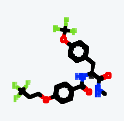 CNC(=O)[C@H](Cc1ccc(OC(F)(F)F)cc1)NC(=O)c1ccc(OCCC(F)(F)F)cc1